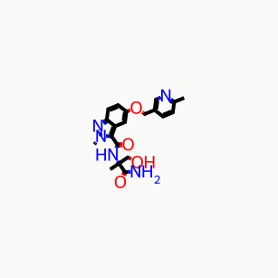 Cc1ccc(COc2ccc3nn(C)c(C(=O)NC(C)(CO)C(N)=O)c3c2)cn1